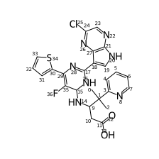 CC(C)(c1ccccn1)C(CC(=O)O)NC1NC(c2c[nH]c3ncc(Cl)nc23)=NC(c2cccs2)=C1F